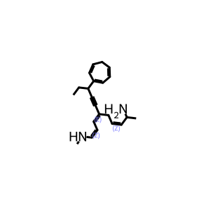 CCC(C#C/C(=C/C=C\NC)C/C=C\C(C)N)C1=CC=CCC=C1